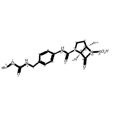 CC(C)(C)OC(=O)NCc1ccc(NC(=O)N2CC[C@@H]3[C@H]2C(=O)N3S(=O)(=O)O)cc1